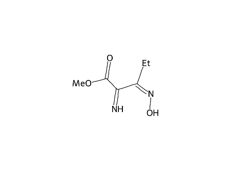 CC/C(=N/O)C(=N)C(=O)OC